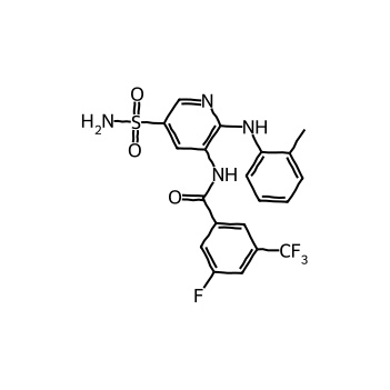 Cc1ccccc1Nc1ncc(S(N)(=O)=O)cc1NC(=O)c1cc(F)cc(C(F)(F)F)c1